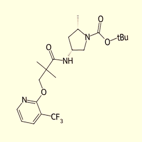 C[C@H]1C[C@@H](NC(=O)C(C)(C)COc2ncccc2C(F)(F)F)CN1C(=O)OC(C)(C)C